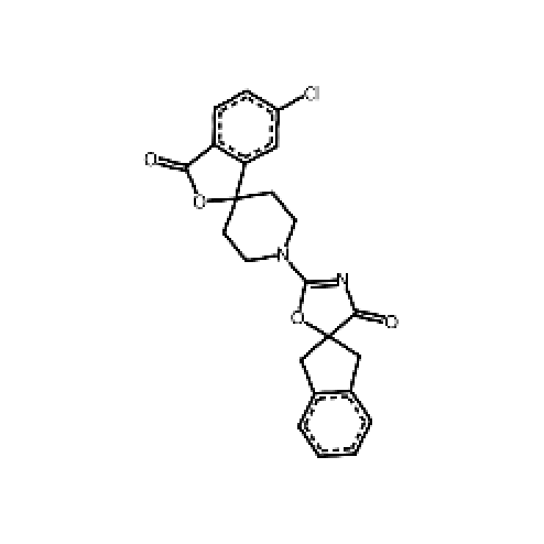 O=C1OC2(CCN(C3=NC(=O)C4(Cc5ccccc5C4)O3)CC2)c2cc(Cl)ccc21